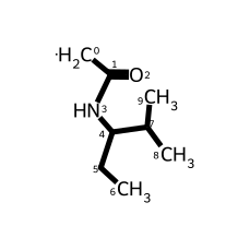 [CH2]C(=O)NC(CC)C(C)C